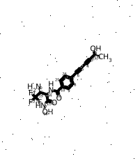 C[C@H](O)C#CC#Cc1ccc(C(=O)N[C@H](C(=O)NO)[C@@H](N)C(F)(F)F)cc1